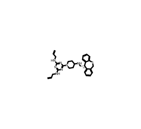 C=CCNc1nc(NCC=C)nc(N2CCC(NC[C@H]3c4ccccc4CSc4ccccc43)CC2)n1